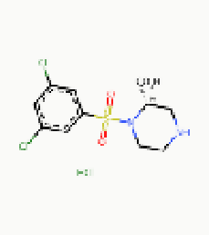 Cl.O=C(O)[C@@H]1CNCCN1S(=O)(=O)c1cc(Cl)cc(Cl)c1